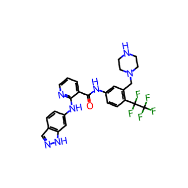 O=C(Nc1ccc(C(F)(F)C(F)(F)F)c(CN2CCNCC2)c1)c1cccnc1Nc1ccc2cn[nH]c2c1